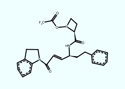 O=C(N[C@H](/C=C/C(=O)N1CCc2ccccc21)CCc1ccccc1)[C@@H]1CCN1OC(=O)C(F)(F)F